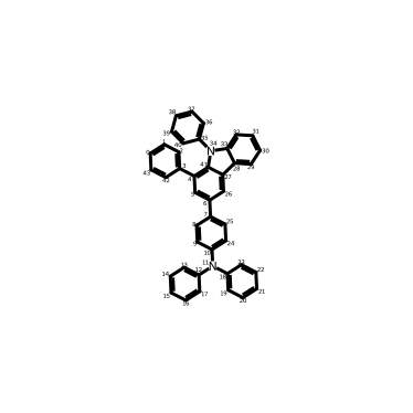 c1ccc(-c2cc(-c3ccc(N(c4ccccc4)c4ccccc4)cc3)cc3c4ccccc4n(-c4ccccc4)c23)cc1